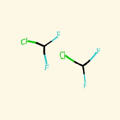 FC(F)Cl.FC(F)Cl